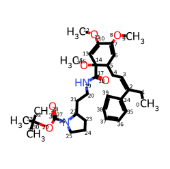 CCC(=CCC1C=C(OC)C(OC)=CC1(OC)C(=O)NCCC1CCCN1C(=O)OC(C)(C)C)c1ccccc1